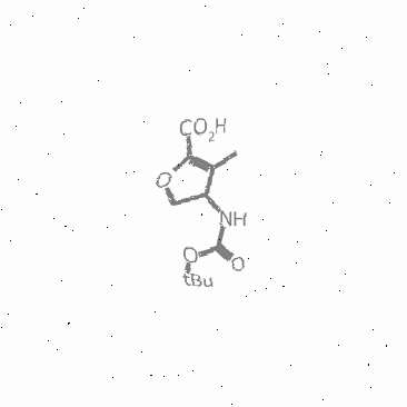 CC1=C(C(=O)O)OCC1NC(=O)OC(C)(C)C